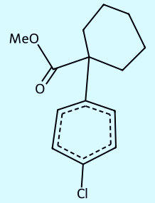 COC(=O)C1(c2ccc(Cl)cc2)CCCCC1